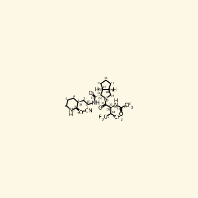 N#C[C@H](C[C@@H]1CCCNC1=O)NC(=O)[C@@H]1[C@H]2CCC[C@H]2CN1C(=O)[C@@H](NC(=O)C(F)(F)F)C(C(F)(F)F)C(F)(F)F